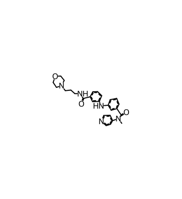 CN(C(=O)c1cccc(Nc2cccc(C(=O)NCCCN3CCOCC3)c2)c1)c1ccncc1